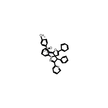 Cc1ccc(S(=O)(=O)/N=C2\OC(c3ccccc3)=CC23C(c2ccccc2)C(c2ccccn2)=NN3c2ccccc2)cc1